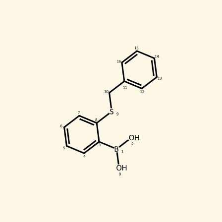 OB(O)c1ccccc1SCc1ccccc1